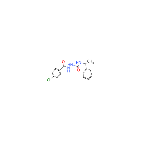 CC(NC(=O)NNC(=O)c1ccc(Cl)cc1)c1ccccc1